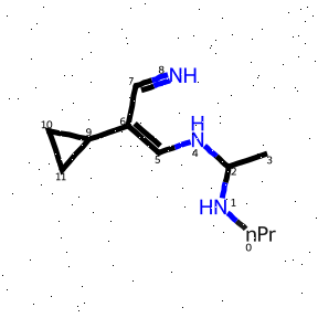 CCCNC(C)N/C=C(\C=N)C1CC1